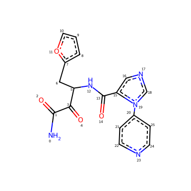 NC(=O)C(=O)C(Cc1ccco1)NC(=O)c1cncn1-c1ccncc1